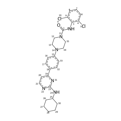 O=C(Nc1c(Cl)cccc1Cl)N1CCN(c2ccc(-c3ccnc(NC4CCCCC4)n3)cc2)CC1